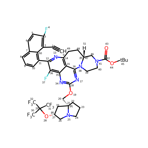 C#Cc1c(F)ccc2cccc(-c3nc4c5c(nc(OC[C@]67CCCN6C[C@H](OC(C(F)(F)F)(C(F)(F)F)C(F)(F)F)C7)nc5c3F)N3CCN(C(=O)OC(C)(C)C)C[C@H]3CC4)c12